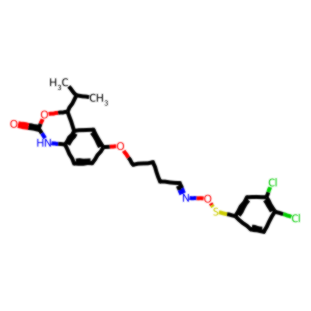 CC(C)C1OC(=O)Nc2ccc(OCCCC=NOSc3ccc(Cl)c(Cl)c3)cc21